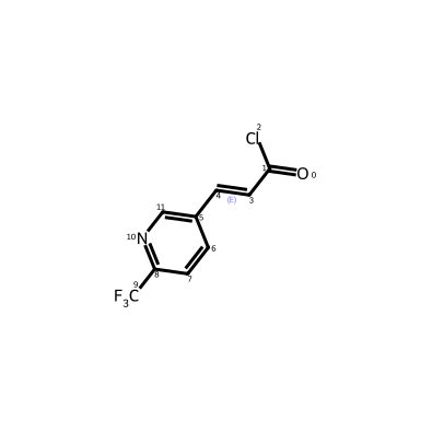 O=C(Cl)/C=C/c1ccc(C(F)(F)F)nc1